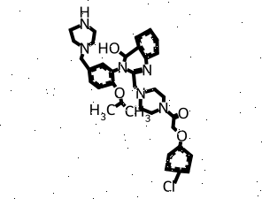 CC(C)Oc1ccc(CN2CCNCC2)cc1N1C(CN2CCN(C(=O)COc3ccc(Cl)cc3)CC2)=Nc2ccccc2C1O